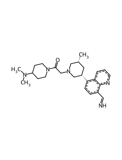 C[C@@H]1C[C@H](c2ccc(C=N)c3ncccc23)CN(CC(=O)N2CCC(N(C)C)CC2)C1